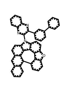 c1ccc(-c2cccc(-c3nc4ccccc4nc3-n3c4ccc5cc6ccccc6c6c5c4c4c5c(ccc43)oc3cccc-6c35)c2)cc1